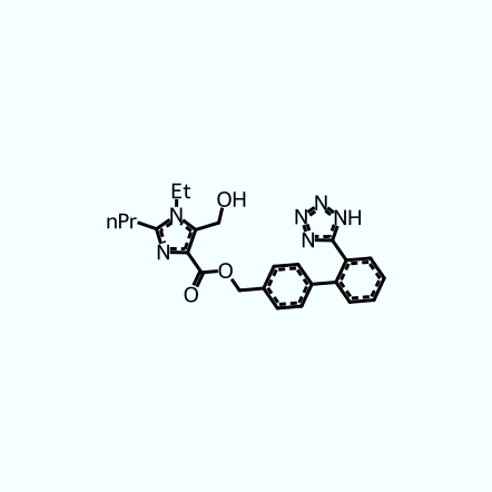 CCCc1nc(C(=O)OCc2ccc(-c3ccccc3-c3nnn[nH]3)cc2)c(CO)n1CC